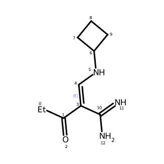 CCC(=O)/C(=C/NC1CCC1)C(=N)N